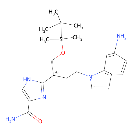 CC(C)(C)[Si](C)(C)OC[C@H](CCn1ccc2ccc(N)cc21)c1nc(C(N)=O)c[nH]1